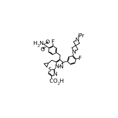 CC(C)N1CC2(CN(c3cc(-c4nn(-c5nc(C(=O)O)cs5)c(CC5CC5)c4Cc4ccc(S(N)(=O)=O)c(F)c4)ccc3F)C2)C1